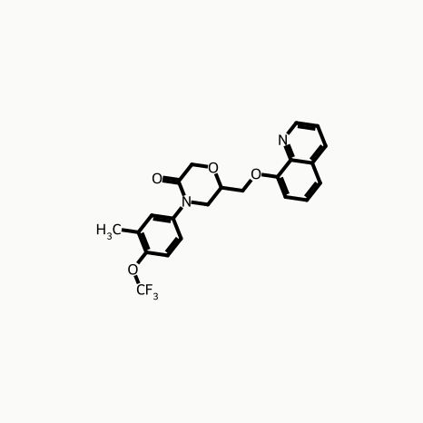 Cc1cc(N2CC(COc3cccc4cccnc34)OCC2=O)ccc1OC(F)(F)F